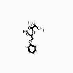 C=C(C)C(=O)OC(COc1ccccc1)OCC